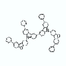 c1ccc(-c2ccc3oc4ccc(-n5c6ccc(-c7ccccc7)cc6c6cc(-c7ccc8c(c7)c7cc(-c9ccccc9)ccc7n8-c7ccc8oc9ccc(-c%10ccccc%10)cc9c8c7)ccc65)cc4c3c2)cc1